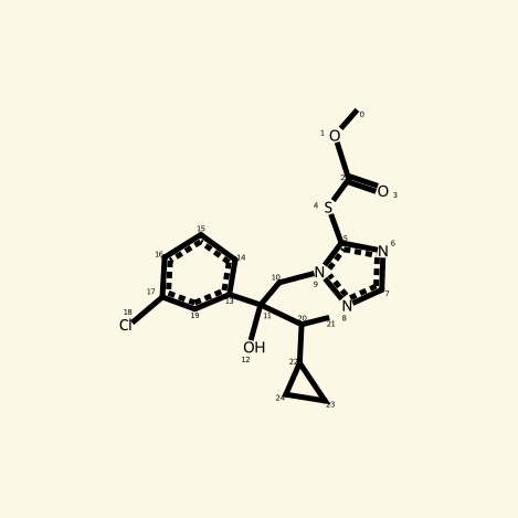 COC(=O)Sc1ncnn1CC(O)(c1cccc(Cl)c1)C(C)C1CC1